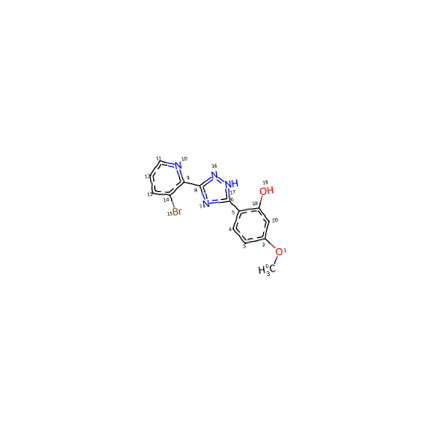 COc1ccc(-c2nc(-c3ncccc3Br)n[nH]2)c(O)c1